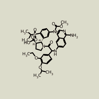 CCOc1cc(C(Nc2ccc3c(N)nccc3c2)C(=O)N2CC[C@@H](C(=O)O)[C@@H]2c2cc(NC(=O)OC)ccc2S(=O)(=O)C(C)C)ccc1OC(C)C